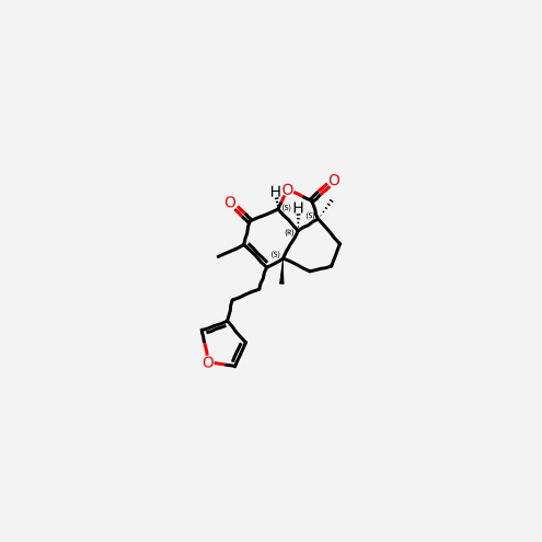 CC1=C(CCc2ccoc2)[C@@]2(C)CCC[C@]3(C)C(=O)O[C@H](C1=O)[C@@H]32